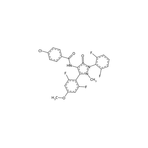 COc1cc(F)c(-c2c(NC(=O)c3ccc(Cl)cc3)c(=O)n(-c3c(F)cccc3F)n2C)c(F)c1